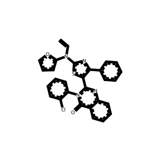 C=CN(c1ccco1)c1nc(-c2ccccc2)c(-c2nc3ccccc3c(=O)n2-c2ccccc2Cl)s1